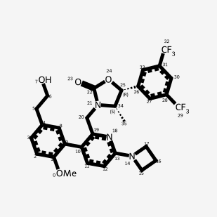 COc1ccc(CCO)cc1-c1ccc(N2CCC2)nc1CN1C(=O)O[C@H](c2cc(C(F)(F)F)cc(C(F)(F)F)c2)[C@@H]1C